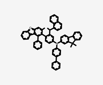 Cc1cc2oc3ccccc3c2c(-c2ccccc2)c1-c1ccc(N(c2ccc(-c3ccccc3)cc2)c2ccc3c(c2)C(C)(C)c2ccccc2-3)cc1C(C)c1cccc2ccccc12